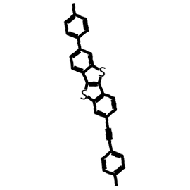 Cc1ccc(C#Cc2ccc3c(c2)sc2c4ccc(-c5ccc(C)cc5)cc4sc32)cc1